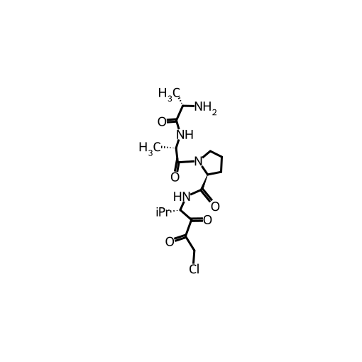 CC(C)[C@H](NC(=O)[C@@H]1CCCN1C(=O)[C@H](C)NC(=O)[C@H](C)N)C(=O)C(=O)CCl